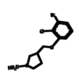 O=C(O)N1CCC(COc2cccc(Br)c2Cl)C1